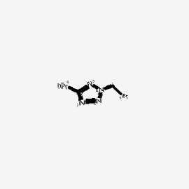 CCCc1nnn(CC(C)C)n1